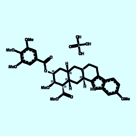 COC(=O)[C@H]1[C@H]2C[C@@H]3c4[nH]c5cc(OC)ccc5c4CCN3C[C@H]2C[C@@H](OC(=O)c2cc(OC)c(OC)c(OC)c2)[C@@H]1OC.O=P(O)(O)O